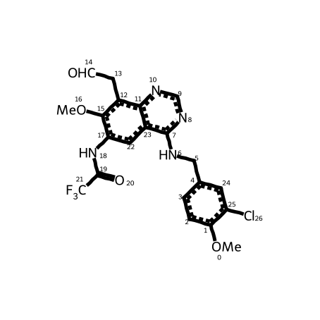 COc1ccc(CNc2ncnc3c(CC=O)c(OC)c(NC(=O)C(F)(F)F)cc23)cc1Cl